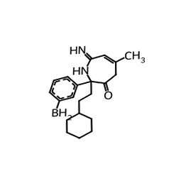 Bc1cccc(C2(CCC3CCCCC3)NC(=N)C=C(C)CC2=O)c1